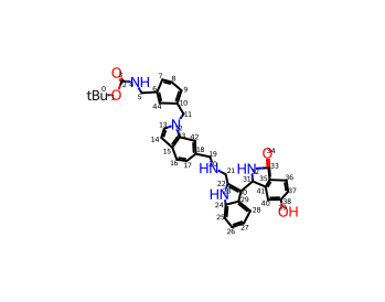 CC(C)(C)OC(=O)NCc1cccc(Cn2ccc3ccc(CNCc4[nH]c5ccccc5c4C4NC(=O)c5ccc(O)cc54)cc32)c1